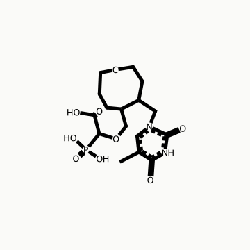 Cc1cn(CC2CCCCCCC2COC(C(=O)O)P(=O)(O)O)c(=O)[nH]c1=O